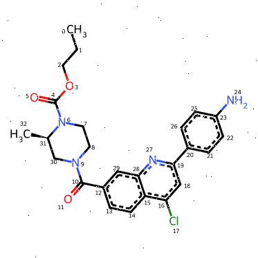 CCCOC(=O)N1CCN(C(=O)c2ccc3c(Cl)cc(-c4ccc(N)cc4)nc3c2)C[C@H]1C